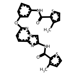 Cc1ccsc1C(=O)Nc1cccc(Oc2ccc3nc(NC(=O)c4sccc4C)cn3n2)c1